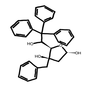 OC([C@H]1O[C@H](O)C[C@]1(O)Cc1ccccc1)C(c1ccccc1)(c1ccccc1)c1ccccc1